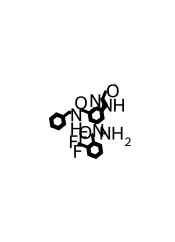 COCc1nc2c(C(=O)NCc3ccccc3)cc(N(N)C(=O)c3ccccc3C(F)(F)F)cc2[nH]1